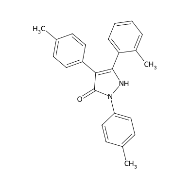 Cc1ccc(-c2c(-c3ccccc3C)[nH]n(-c3ccc(C)cc3)c2=O)cc1